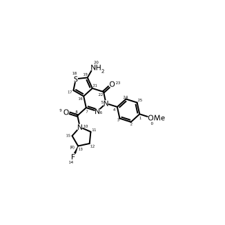 COc1ccc(-n2nc(C(=O)N3CC[C@@H](F)C3)c3csc(N)c3c2=O)cc1